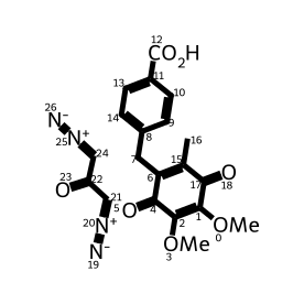 COC1=C(OC)C(=O)C(Cc2ccc(C(=O)O)cc2)=C(C)C1=O.[N-]=[N+]=CC(=O)C=[N+]=[N-]